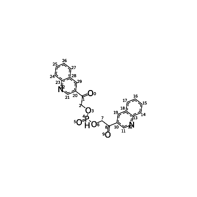 O=C(CO[PH](=O)OCC(=O)c1cnc2ccccc2c1)c1cnc2ccccc2c1